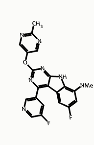 CNc1cc(F)cc2c1[nH]c1nc(Oc3cnc(C)nc3)nc(-c3cncc(F)c3)c12